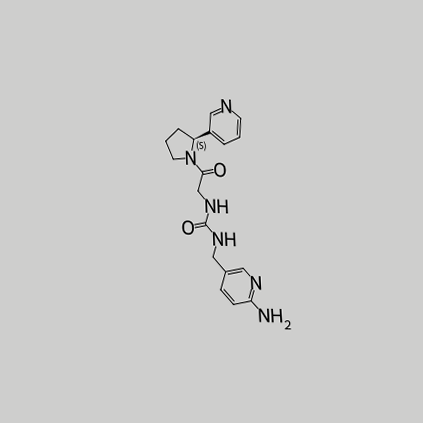 Nc1ccc(CNC(=O)NCC(=O)N2CCC[C@H]2c2cccnc2)cn1